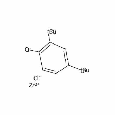 CC(C)(C)c1ccc([O-])c(C(C)(C)C)c1.[Cl-].[Zr+2]